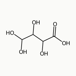 O=C(O)C(O)C(O)C(O)O